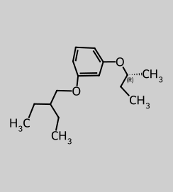 CCC(CC)COc1cccc(O[C@H](C)CC)c1